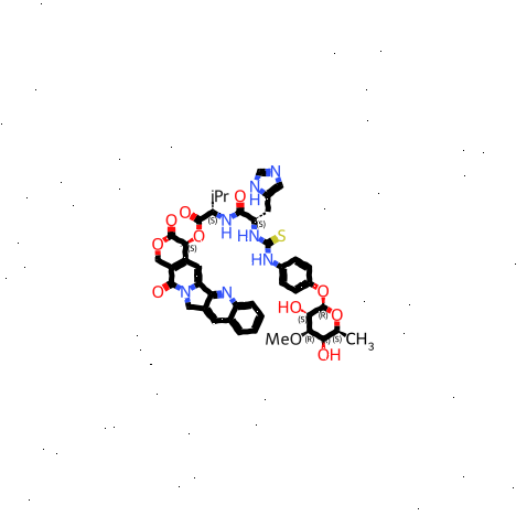 CO[C@H]1[C@H](O)[C@@H](Oc2ccc(NC(=S)N[C@@H](Cc3cnc[nH]3)C(=O)N[C@H](C(=O)O[C@@H]3C(=O)OCc4c3cc3n(c4=O)Cc4cc5ccccc5nc4-3)C(C)C)cc2)O[C@@H](C)[C@H]1O